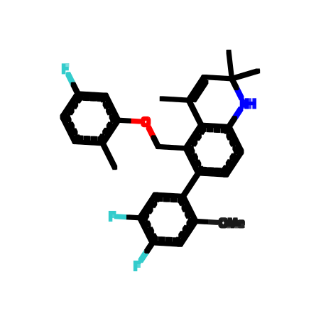 COc1cc(F)c(F)cc1-c1ccc2c(c1COc1cc(F)ccc1C)C(C)=CC(C)(C)N2